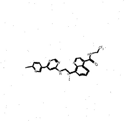 Cc1ccc(-c2cc(NC[C@@H](C)c3cccc4c(C(=O)NCC(F)(F)F)ccnc34)ncn2)cn1